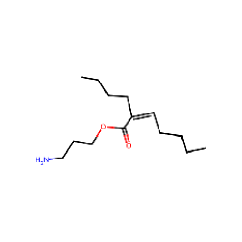 CCCCC=C(CCCC)C(=O)OCCCN